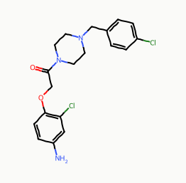 Nc1ccc(OCC(=O)N2CCN(Cc3ccc(Cl)cc3)CC2)c(Cl)c1